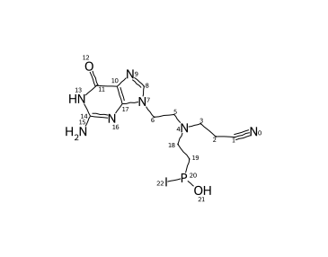 N#CCCN(CCn1cnc2c(=O)[nH]c(N)nc21)CCP(O)I